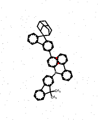 CC1(C)c2ccccc2-c2ccc(N(c3ccc(-c4ccc5c(c4)-c4ccccc4C54C5CC6CC(C5)CC4C6)cc3)c3ccccc3-c3ccccc3)cc21